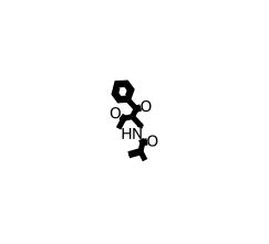 C=C(C)C(=O)NCC(C(C)=O)C(=O)c1ccccc1